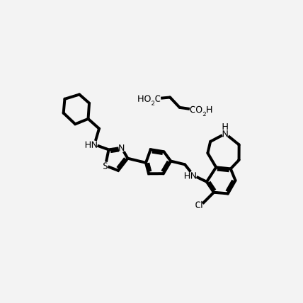 Clc1ccc2c(c1NCc1ccc(-c3csc(NCC4CCCCC4)n3)cc1)CCNCC2.O=C(O)CCC(=O)O